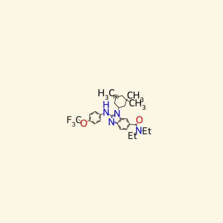 CCN(CC)C(=O)c1ccc2nc(Nc3ccc(OC(F)(F)F)cc3)n(C3C[C@H](C)CC(C)(C)C3)c2c1